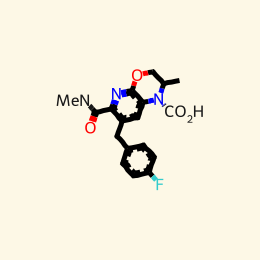 CNC(=O)c1nc2c(cc1Cc1ccc(F)cc1)N(C(=O)O)C(C)CO2